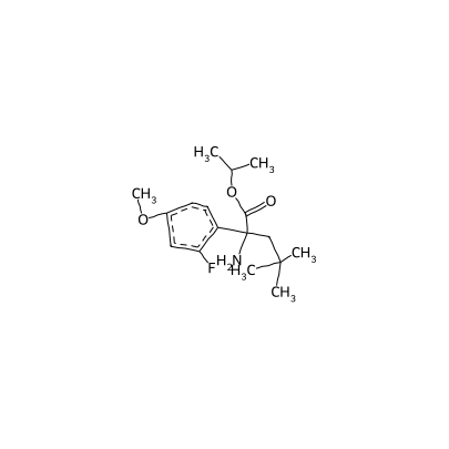 COc1ccc(C(N)(CC(C)(C)C)C(=O)OC(C)C)c(F)c1